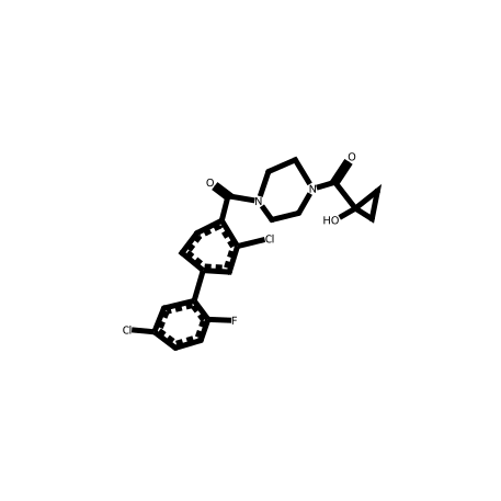 O=C(c1ccc(-c2cc(Cl)ccc2F)cc1Cl)N1CCN(C(=O)C2(O)CC2)CC1